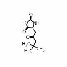 CC(C)(C)CC(=O)C[C@@H]1NC(=O)OC1=O